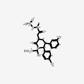 CCOC(=O)C(CC)N1C(=O)C(CC(=O)N(C)O[SH](=O)=O)CC(c2cccc(Cl)c2)C1c1ccc(Cl)cc1